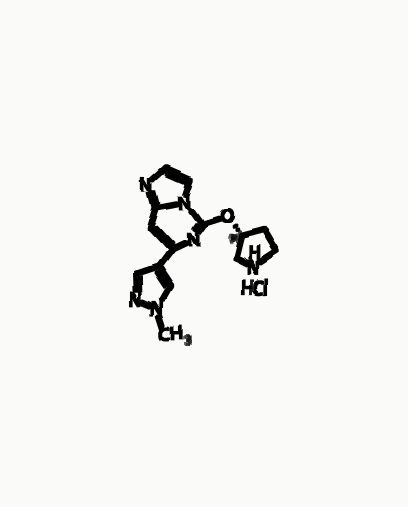 Cl.Cn1cc(-c2cc3nccn3c(O[C@@H]3CCNC3)n2)cn1